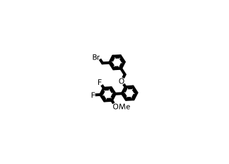 COc1cc(F)c(F)cc1-c1ccccc1OCc1cccc(CBr)c1